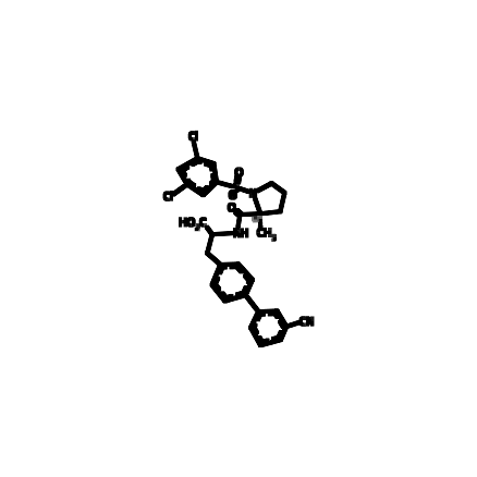 C[C@@]1(C(=O)NC(Cc2ccc(-c3cccc(C#N)c3)cc2)C(=O)O)CCCN1S(=O)(=O)c1cc(Cl)cc(Cl)c1